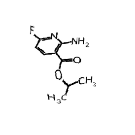 CC(C)OC(=O)c1ccc(F)nc1N